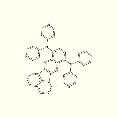 c1cc2c3c(cccc3c1)-c1nc3c(N(c4ccncc4)c4ccncc4)ccc(N(c4ccncc4)c4ccncc4)c3nc1-2